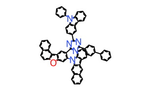 c1ccc(-c2ccc(-c3nc(-c4ccc5c(c4)c4ccccc4n5-c4ccccc4)nc(-c4cc5c(cc4-n4c6ccccc6c6cc7ccccc7cc64)oc4ccc6ccccc6c45)n3)cc2)cc1